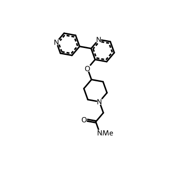 CNC(=O)CN1CCC(Oc2cccnc2-c2ccncc2)CC1